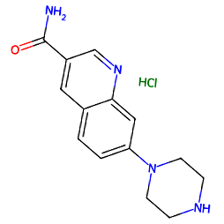 Cl.NC(=O)c1cnc2cc(N3CCNCC3)ccc2c1